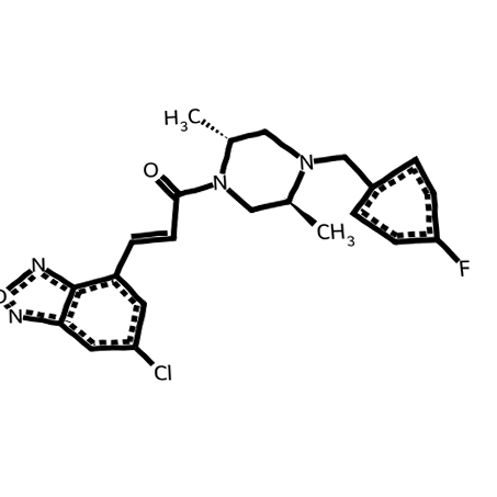 C[C@@H]1CN(Cc2ccc(F)cc2)[C@@H](C)CN1C(=O)/C=C/c1cc(Cl)cc2nonc12